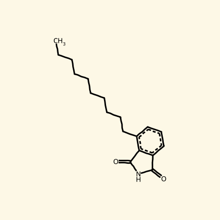 CCCCCCCCCCc1cccc2c1C(=O)NC2=O